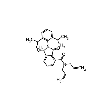 C=CCN(CC=C)C(=O)c1cccc2c1C(=O)N(c1c(C(C)C)cccc1C(C)C)C2=O